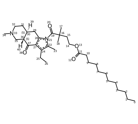 CCCCCCCCCCCC(=O)OCCC(C)(C)C(=O)n1c(C)c(CC)c2c1C[C@@H]1CCN(C)C[C@H]1C2=O